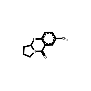 Cc1ccc2c(c1)C(=O)N1CCCC1O2